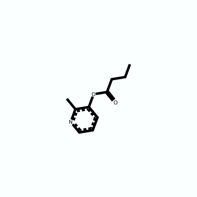 CCCC(=O)Oc1cccnc1C